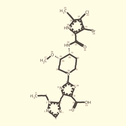 CCn1ncnc1-c1nc(N2CC[C@@H](NC(=O)c3[nH]c(C)c(Cl)c3Br)[C@@H](OC)C2)sc1C(=O)O